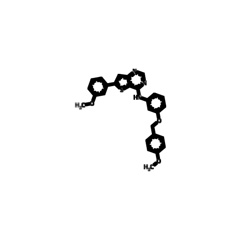 COc1ccc(COc2cccc(Nc3ncnc4cc(-c5cccc(OC)c5)sc34)c2)cc1